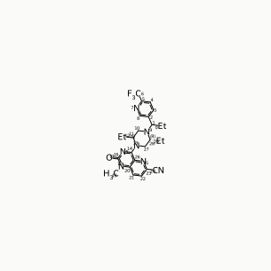 CCC(c1ccc(C(F)(F)F)nc1)N1C[C@H](CC)N(c2nc(=O)n(C)c3ccc(C#N)nc23)C[C@H]1CC